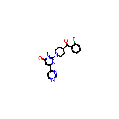 Cn1c(N2CCC(C(=O)c3ccccc3F)CC2)nc(-c2ccncn2)cc1=O